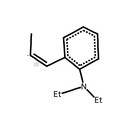 C/[C]=C\c1ccccc1N(CC)CC